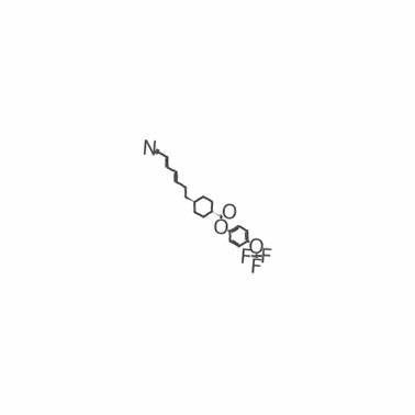 N#CC=CC=CCC[C@H]1CC[C@H](C(=O)Oc2ccc(OC(F)(F)F)cc2)CC1